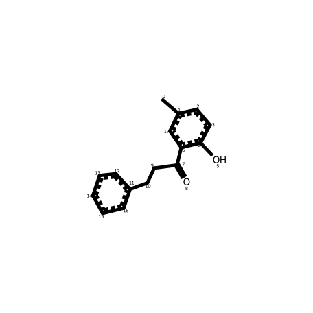 Cc1ccc(O)c(C(=O)CCc2ccccc2)c1